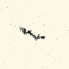 O=C(c1ccc(-c2ccc3nccn3c2)c(F)c1)N1CCC(N2C[C](n3cc(-c4ncnc5[nH]ccc45)cn3)C2)CC1